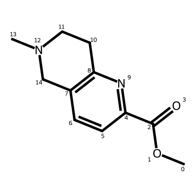 COC(=O)c1ccc2c(n1)CCN(C)C2